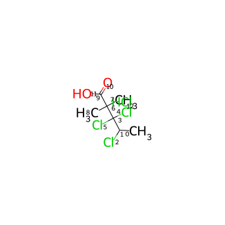 CC(Cl)C(Cl)(Cl)C(C)(C)C(=O)O.Cl